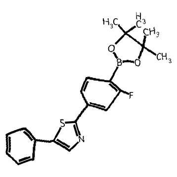 CC1(C)OB(c2ccc(-c3ncc(-c4ccccc4)s3)cc2F)OC1(C)C